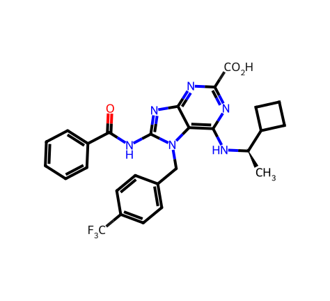 C[C@@H](Nc1nc(C(=O)O)nc2nc(NC(=O)c3ccccc3)n(Cc3ccc(C(F)(F)F)cc3)c12)C1CCC1